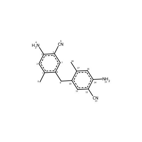 Cc1cc(N)c(C#N)cc1Cc1cc(C#N)c(N)cc1C